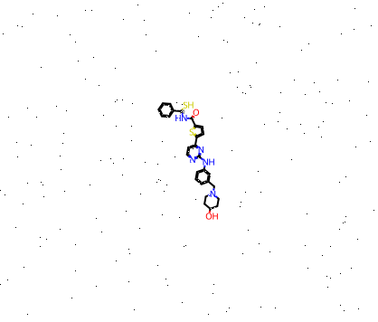 O=C(N[C@H](S)c1ccccc1)c1ccc(-c2ccnc(Nc3cccc(CN4CCC(O)CC4)c3)n2)s1